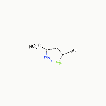 CC(=O)C([18F])CC(N)C(=O)O